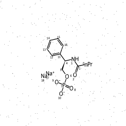 CCCC(=O)N[C@@H](COP(=O)([O-])[O-])c1ccccc1.[Na+].[Na+]